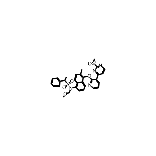 COCN(c1cccc2c(Oc3ncccc3-c3ccnc([S+](C)[O-])n3)c(C)ccc12)S(=O)(=O)C(C)c1ccccc1